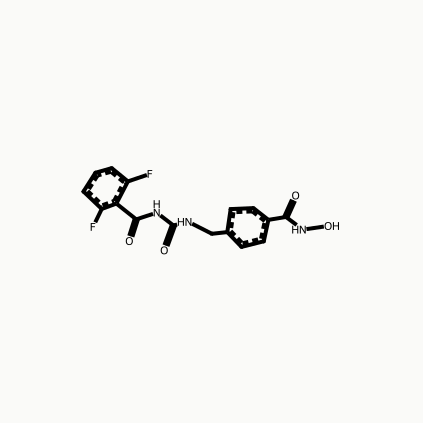 O=C(NCc1ccc(C(=O)NO)cc1)NC(=O)c1c(F)cccc1F